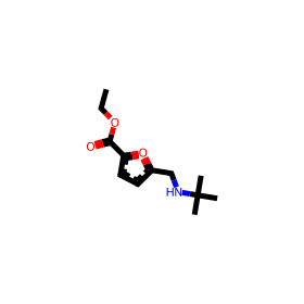 CCOC(=O)c1ccc(CNC(C)(C)C)o1